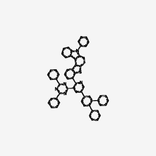 c1ccc(-c2nc(-c3ccccc3)nc(-c3cc(-c4ccc(-c5ccccc5)c(-c5ccccc5)c4)cnc3-c3cccc4c3sc3ccc5c(c6ccccc6n5-c5ccccc5)c34)n2)cc1